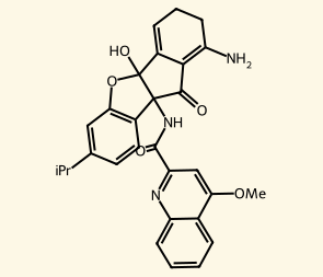 COc1cc(C(=O)NC23C(=O)C4=C(N)CCC=C4C2(O)Oc2cc(C(C)C)ccc23)nc2ccccc12